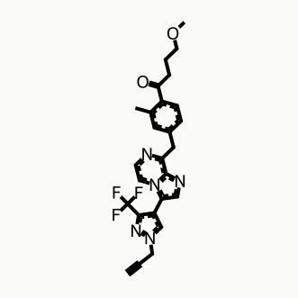 C#CCn1cc(-c2cnc3c(Cc4ccc(C(=O)CCCOC)c(C)c4)nccn23)c(C(F)(F)F)n1